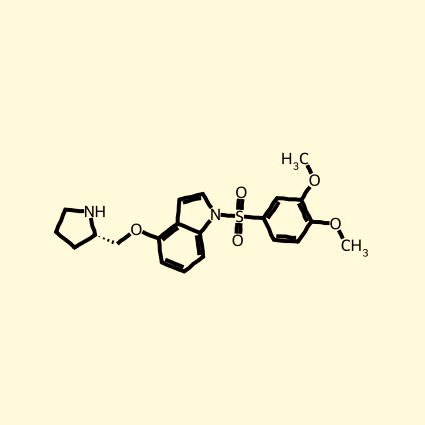 COc1ccc(S(=O)(=O)n2ccc3c(OC[C@@H]4CCCN4)cccc32)cc1OC